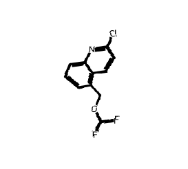 FC(F)OCc1cccc2nc(Cl)ccc12